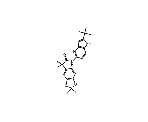 CC(C)(C)c1cc2nc(NC(=O)C3(c4ccc5c(c4)OC(F)(F)O5)CC3)ccc2[nH]1